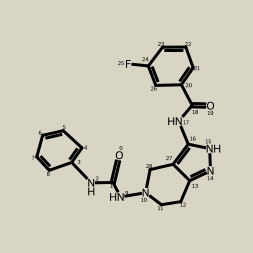 O=C(Nc1ccccc1)NN1CCc2n[nH]c(NC(=O)c3cccc(F)c3)c2C1